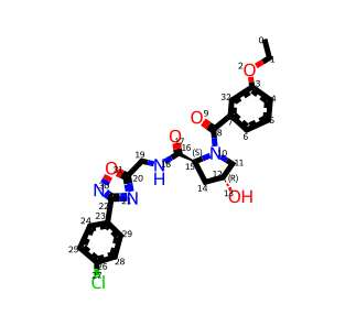 CCOc1cccc(C(=O)N2C[C@H](O)C[C@H]2C(=O)NCc2nc(-c3ccc(Cl)cc3)no2)c1